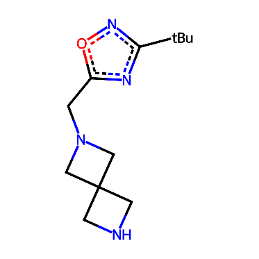 CC(C)(C)c1noc(CN2CC3(CNC3)C2)n1